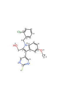 OCc1c(-c2cnc(F)nc2)c2cc(OC(F)(F)F)ccc2n1Cc1ccccc1Cl